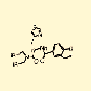 CC(C)CN(CC(C)C)C(=O)[C@H](Cc1cscn1)NC(=O)c1ccc2occc2c1